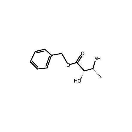 C[C@@H](S)[C@H](O)C(=O)OCc1ccccc1